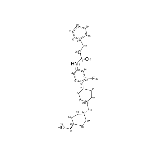 O=C(Nc1ccc(C2CCN(C[C@H]3CC[C@H](CO)CC3)CC2)c(F)c1)OCc1ccccc1